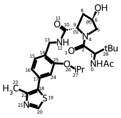 CC(=O)NC(C(=O)N1C[C@H](O)C[C@H]1C(=O)NCc1ccc(-c2scnc2C)cc1OC(C)C)C(C)(C)C